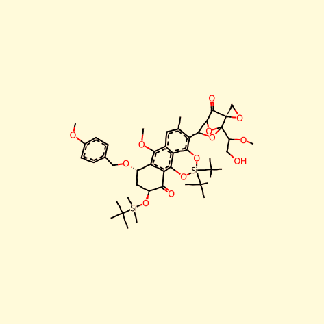 COc1ccc(CO[C@H]2C[C@H](O[Si](C)(C)C(C)(C)C)C(=O)c3c2c(OC)c2cc(C)c(C4OC5(C(CO)OC)OC4C(=O)[C@@]54CO4)c4c2c3O[Si](C(C)(C)C)(C(C)(C)C)O4)cc1